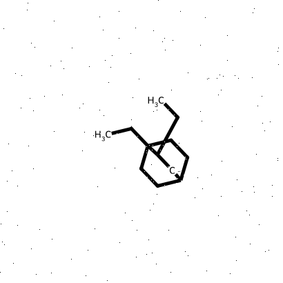 C[CH]C12CCC(CC1)CC2CC